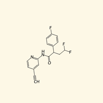 C#Cc1ccnc(NC(=O)C(CC(F)F)c2ccc(F)cc2)c1